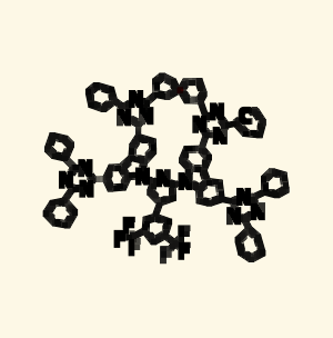 FC(F)(F)c1cc(-c2cc(-n3c4ccc(-c5nc(-c6ccccc6)nc(-c6ccccc6)n5)cc4c4cc(-c5nc(-c6ccccc6)nc(-c6ccccc6)n5)ccc43)nc(-n3c4ccc(-c5nc(-c6ccccc6)nc(-c6ccccc6)n5)cc4c4cc(-c5nc(-c6ccccc6)nc(-c6ccccc6)n5)ccc43)c2)cc(C(F)(F)F)c1